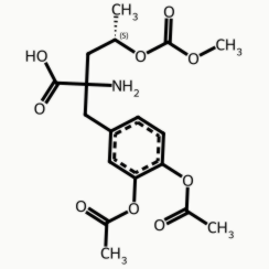 COC(=O)O[C@@H](C)CC(N)(Cc1ccc(OC(C)=O)c(OC(C)=O)c1)C(=O)O